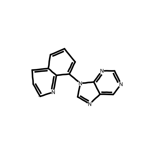 [c]1ccc2cccc(-n3cnc4cncnc43)c2n1